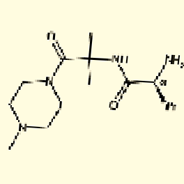 CC(C)[C@H](N)C(=O)NC(C)(C)C(=O)N1CCN(C)CC1